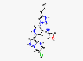 CC(C)CCc1cn(-c2cnc(-c3cnn4cc(Cl)cnc34)cc2NC2COC2)nn1